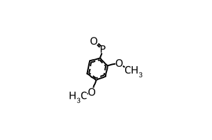 COc1ccc(P=O)c(OC)c1